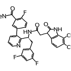 CNC(=O)c1cc(-c2cccnc2[C@H](Cc2cc(F)cc(F)c2)NC(=O)CC2C(=O)Nc3c2ccc(C)c3C)ccc1F